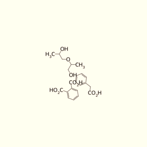 CC(O)COC(C)CO.O=C(O)Cc1ccccc1.O=C(O)c1ccccc1C(=O)O